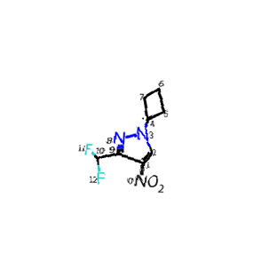 O=[N+]([O-])c1cn([C]2CCC2)nc1C(F)F